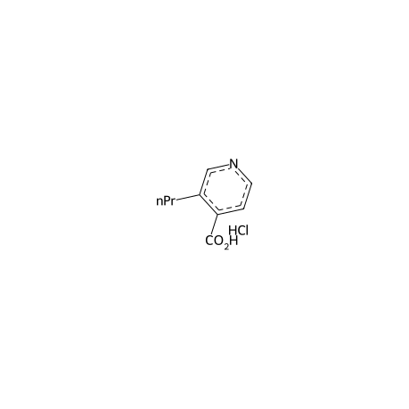 CCCc1cnccc1C(=O)O.Cl